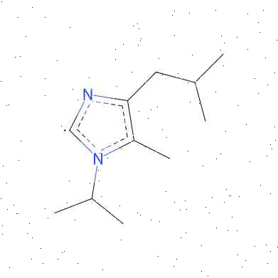 Cc1c(CC(C)C)n[c]n1C(C)C